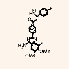 CCN[C@H](CC(=O)N1CC2CCC1CN2c1nc(N)c2cc(OC)c(OC)c(F)c2n1)c1ccc(F)cc1